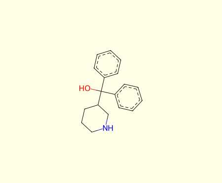 OC(c1ccccc1)(c1ccccc1)C1CCCNC1